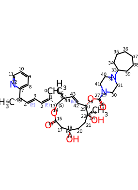 C/C(=C\C=C\[C@H](C)c1ccccn1)[C@H]1OC(=O)C[C@H](O)CC[C@@](C)(O)[C@@H](OC(=O)N2CCN(C3CCCCCC3)CC2)/C=C/[C@@H]1C